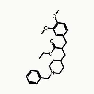 CCOC(=O)C(Cc1ccc(OC)c(OC)c1)CC1CCN(Cc2ccccc2)CC1